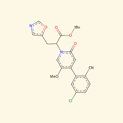 COc1cn(C(Cc2cnco2)C(=O)OC(C)(C)C)c(=O)cc1-c1cc(Cl)ccc1C#N